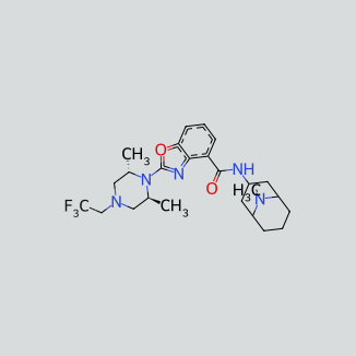 C[C@H]1CN(CC(F)(F)F)C[C@H](C)N1c1nc2c(C(=O)NC3CC4CCCC(C3)N4C)cccc2o1